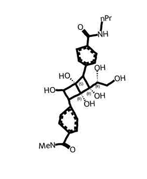 CCCNC(=O)c1ccc(C2[C@]3(O)C(O)C(c4ccc(C(=O)NC)cc4)[C@]3(O)[C@]2(O)[C@H](O)CO)cc1